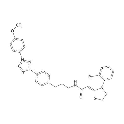 CC(C)c1ccccc1N1CCS/C1=C\C(=O)NCCCc1ccc(-c2ncn(-c3ccc(OC(F)(F)F)cc3)n2)cc1